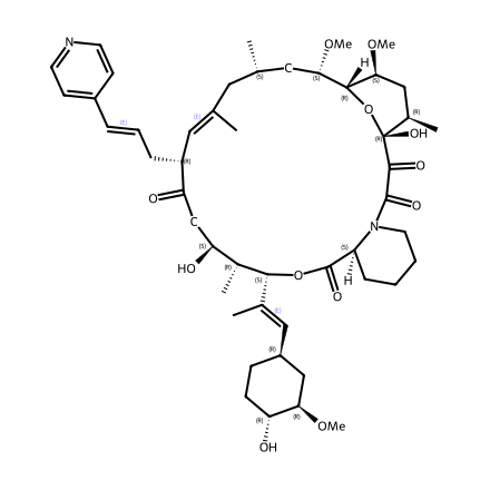 CO[C@H]1C[C@@H](C)C/C(C)=C/[C@@H](C/C=C/c2ccncc2)C(=O)C[C@H](O)[C@@H](C)[C@@H](/C(C)=C/[C@@H]2CC[C@@H](O)[C@H](OC)C2)OC(=O)[C@@H]2CCCCN2C(=O)C(=O)[C@]2(O)O[C@H]1[C@@H](OC)C[C@H]2C